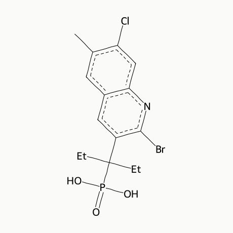 CCC(CC)(c1cc2cc(C)c(Cl)cc2nc1Br)P(=O)(O)O